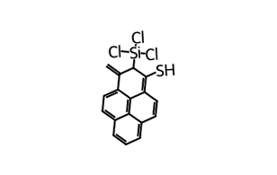 C=C1c2ccc3cccc4ccc(c2c34)=C(S)C1[Si](Cl)(Cl)Cl